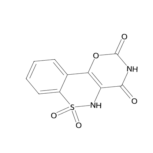 O=c1[nH]c(=O)c2c(o1)-c1ccccc1S(=O)(=O)N2